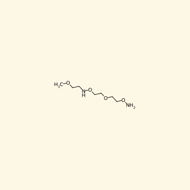 COCCNOCCOCCON